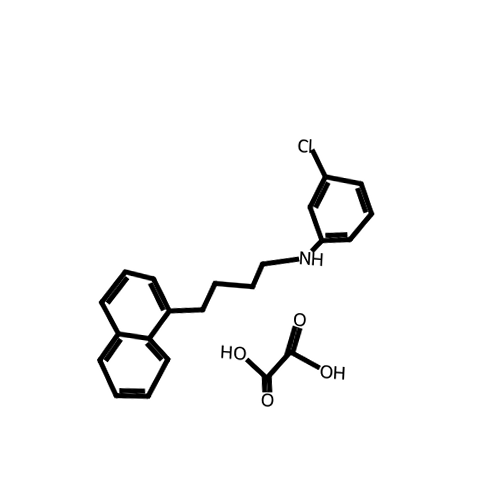 Clc1cccc(NCCCCc2cccc3ccccc23)c1.O=C(O)C(=O)O